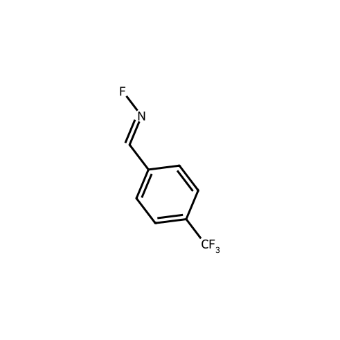 FN=Cc1ccc(C(F)(F)F)cc1